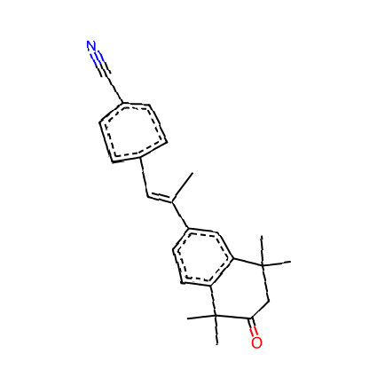 CC(=Cc1ccc(C#N)cc1)c1ccc2c(c1)C(C)(C)CC(=O)C2(C)C